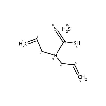 C=CCN(CC=C)C(=S)S.S